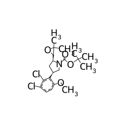 COc1ccc(Cl)c(Cl)c1[C@H]1C[C@@H](C2OC2(C)C)N(C(=O)OC(C)(C)C)C1